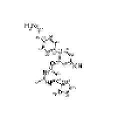 Cc1nc(Oc2cc(C#N)ccc2-c2ccc(CCN)cc2)cc(-c2cccn2C)n1